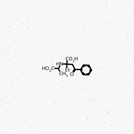 CCC(CC(=O)c1ccccc1)(NC(C)C(=O)O)C(=O)O